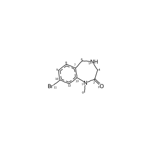 CN1C(=O)CNCc2ccc(Br)cc21